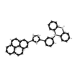 c1cc(-c2nc(-c3cc4ccc5cccc6ccc(c3)c4c56)ns2)cc(N2c3ccccc3Oc3ccccc32)c1